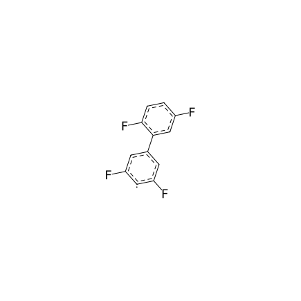 Fc1[c]c(F)cc(-c2cc(F)ccc2F)c1